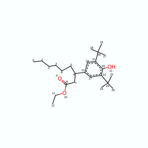 CCCCCCC(CC(=O)OCC)c1cc(C(C)(C)C)c(O)c(C(C)(C)C)c1